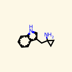 NC1(Cc2c[nH]c3ccccc23)CC1